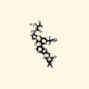 Cc1cc(C(F)(F)F)nc(-c2ccnc3cc(CN4C(=O)C5C(C4=O)C5(C)C)sc23)c1C(=O)N1CCC(NC(=O)[C@@H](N)C(C)C)C1.Cl.Cl